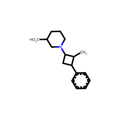 CC1C(c2ccccc2)CC1N1CCCC(C(=O)O)C1